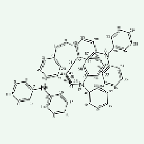 C1=Cc2ccc(N(c3ccccc3)c3ccccc3)cc2C2(c3cc(N(c4ccccc4)c4ccccc4)ccc31)c1ccccc1-n1c3ccccc3c3cccc2c31